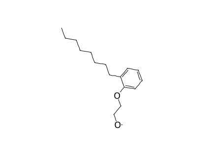 CCCCCCCCc1ccccc1OCC[O]